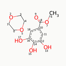 C1COCCO1.COC(=O)c1cc(O)c(O)c(O)c1